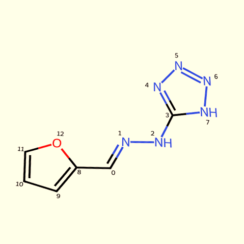 C(=N\Nc1nnn[nH]1)/c1ccco1